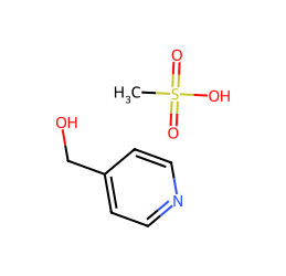 CS(=O)(=O)O.OCc1ccncc1